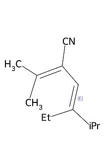 CC/C(=C\C(C#N)=C(C)C)C(C)C